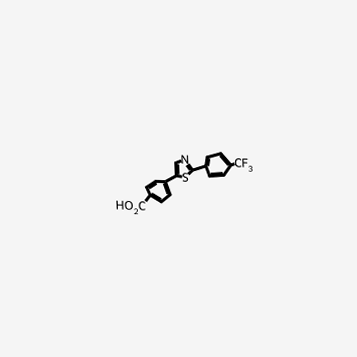 O=C(O)c1ccc(-c2cnc(-c3ccc(C(F)(F)F)cc3)s2)cc1